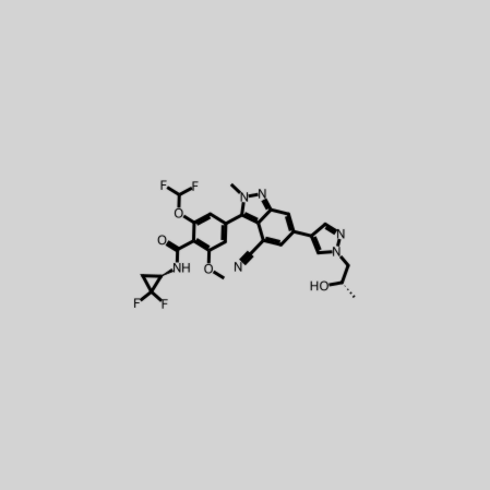 COc1cc(-c2c3c(C#N)cc(-c4cnn(C[C@H](C)O)c4)cc3nn2C)cc(OC(F)F)c1C(=O)N[C@@H]1CC1(F)F